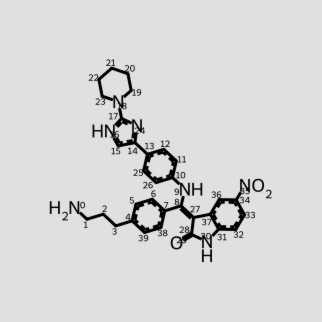 NCCCc1ccc(C(Nc2ccc(-c3c[nH]c(N4CCCCC4)n3)cc2)=C2C(=O)Nc3ccc([N+](=O)[O-])cc32)cc1